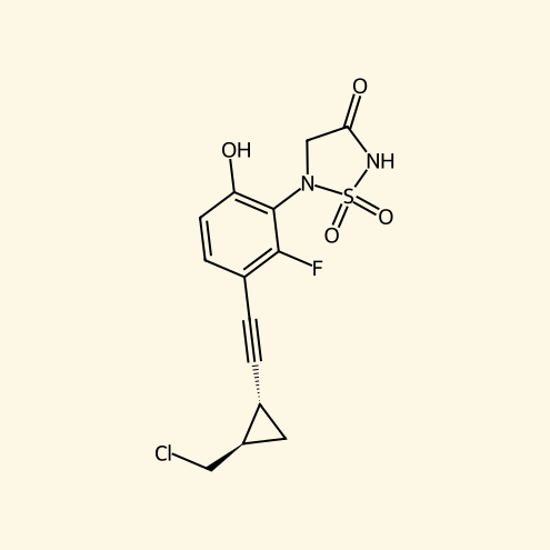 O=C1CN(c2c(O)ccc(C#C[C@@H]3C[C@H]3CCl)c2F)S(=O)(=O)N1